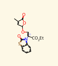 CCOC(=O)/C(=C/OC1C=C(C)C(=O)O1)n1c(=O)sc2ccccc21